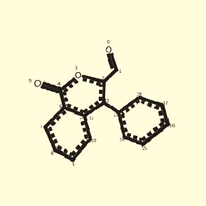 O=Cc1oc(=O)c2ccccc2c1-c1ccccc1